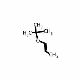 CC=COC(C)(C)C